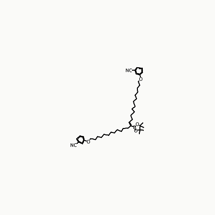 CC1(C)OB(/C(=C\CCCCCCCCCCCCOc2cccc(C#N)c2)CCCCCCCCCCCCOc2cccc(C#N)c2)OC1(C)C